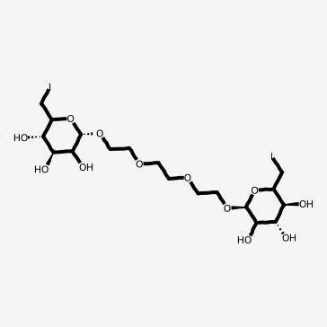 OC1[C@@H](OCCOCCOCCO[C@H]2OC(CI)[C@@H](O)[C@H](O)C2O)OC(CI)[C@@H](O)[C@@H]1O